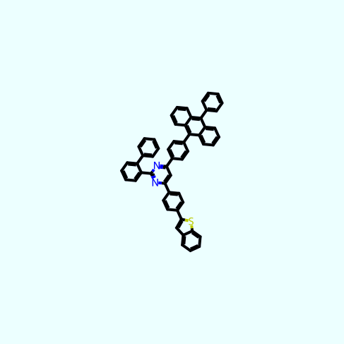 c1ccc(-c2ccccc2-c2nc(-c3ccc(-c4cc5ccccc5s4)cc3)cc(-c3ccc(-c4c5ccccc5c(-c5ccccc5)c5ccccc45)cc3)n2)cc1